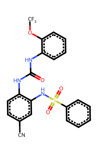 N#Cc1ccc(NC(=O)Nc2ccccc2OC(F)(F)F)c(NS(=O)(=O)c2ccccc2)c1